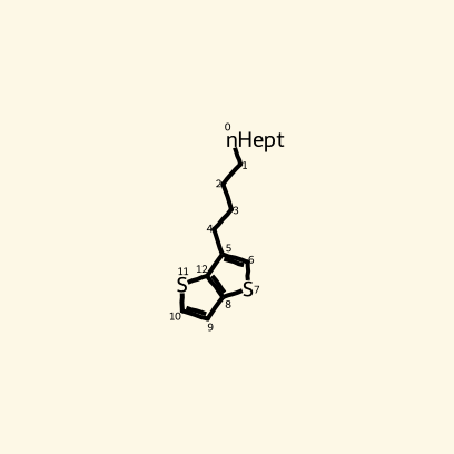 CCCCCCCCCCCc1csc2ccsc12